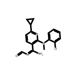 CN(c1ccccc1Cl)c1nc(C2CC2)ccc1/C(N)=N\C=O